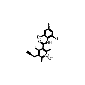 C#CCc1c(I)c(C(=O)Nc2c(CC)cc(F)cc2CC)c(C)[n+]([O-])c1C